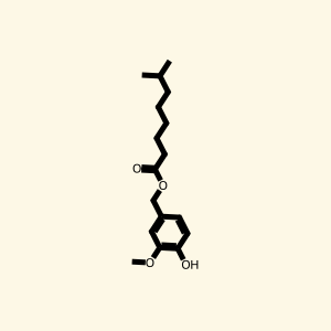 COc1cc(COC(=O)CCCCCC(C)C)ccc1O